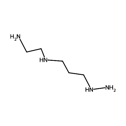 NCCNCCCNN